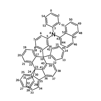 c1ccc(N(c2cccc(C3(c4ccccc4)c4ccccc4C4(c5ccccc5)c5ccccc5-c5cccc3c54)c2)c2cccc3ccccc23)cc1